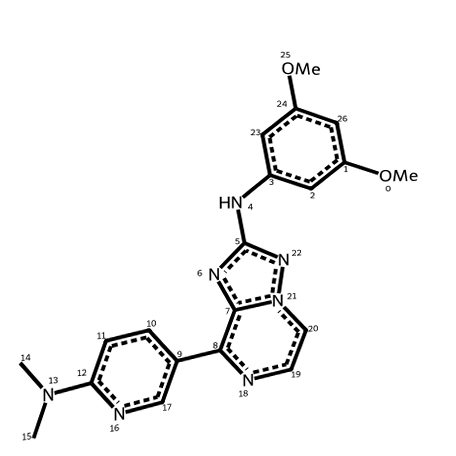 COc1cc(Nc2nc3c(-c4ccc(N(C)C)nc4)nccn3n2)cc(OC)c1